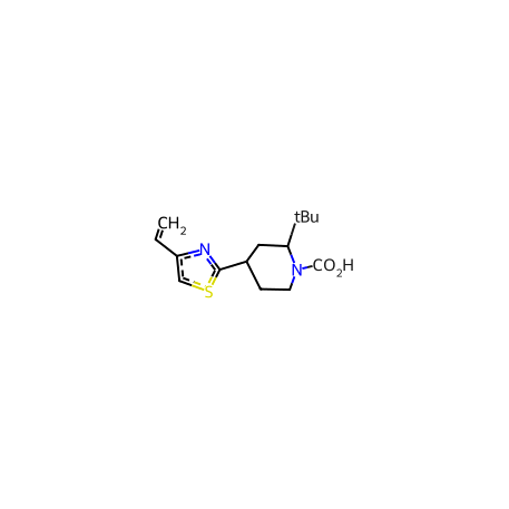 C=Cc1csc(C2CCN(C(=O)O)C(C(C)(C)C)C2)n1